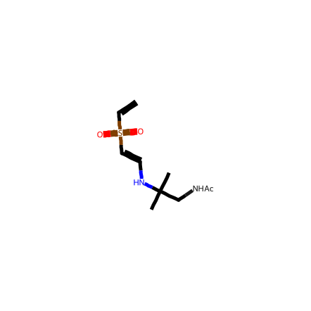 C=CS(=O)(=O)C=CNC(C)(C)CNC(C)=O